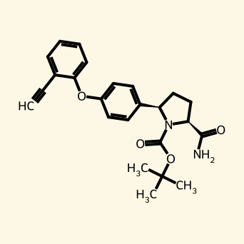 C#Cc1ccccc1Oc1ccc([C@H]2CC[C@@H](C(N)=O)N2C(=O)OC(C)(C)C)cc1